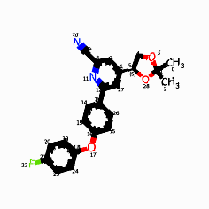 CC1(C)OC[C@H](c2cc(C#N)nc(-c3ccc(Oc4ccc(F)cc4)cc3)c2)O1